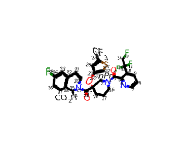 CCC[C@H]1N(C(=O)c2ncccc2C(F)(F)CF)CCC[C@@]1(Oc1csc(C(F)(F)F)c1)C(=O)N1CCc2cc(F)ccc2C1C(=O)O